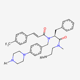 CNCCN(C)C(=O)[C@H](Cc1ccccc1)N(Cc1ccc(N2CCN(C(C)=O)CC2)cc1)C(=O)/C=C/c1ccc(C(F)(F)F)cc1